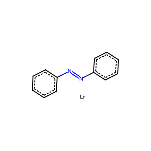 [Li].c1ccc(N=Nc2ccccc2)cc1